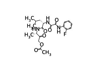 CC(=O)OCC(=O)[C@H](C)NC(=O)[C@H](CC(C)C)NC(=O)C(=O)Nc1ccccc1F